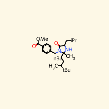 CCCC[C@H](c1ccc(C(=O)OC)cc1)N1C(=O)C(CC(C)C)NC1(C)CCC(C)C(C)(C)C